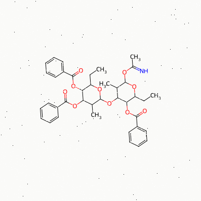 CCC1OC(OC2C(C)C(OC(C)=N)OC(CC)C2OC(=O)c2ccccc2)C(C)C(OC(=O)c2ccccc2)C1OC(=O)c1ccccc1